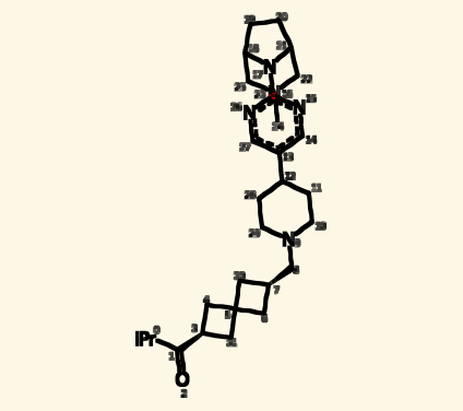 CC(C)C(=O)[C@H]1CC2(C[C@H](CN3CCC(c4cnc(N5C6CCC5CN(C)C6)nc4)CC3)C2)C1